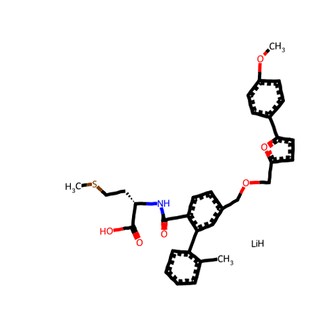 COc1ccc(-c2ccc(COCc3ccc(C(=O)N[C@@H](CCSC)C(=O)O)c(-c4ccccc4C)c3)o2)cc1.[LiH]